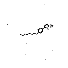 CCCCCCCCc1ccc(-c2ccc(Br)s2)cc1